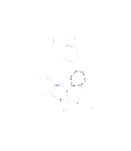 CN1C(=O)C2(CC(C)(C)Oc3ccc(C4CCC(C)(C)CC4)cc32)N=C1N